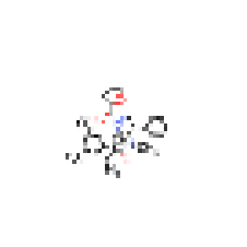 CN(C(=O)C(C)(C)c1cc(C(F)(F)F)cc(C(F)(F)F)c1)[C@@H]1CN(C(=O)[C@@H]2CCCO2)C[C@H]1c1ccccc1